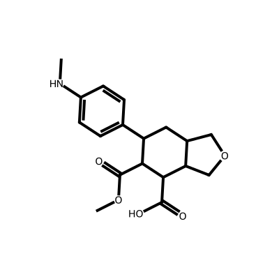 CNc1ccc(C2CC3COCC3C(C(=O)O)C2C(=O)OC)cc1